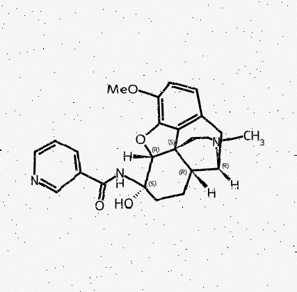 COc1ccc2c3c1O[C@@H]1[C@]34CCN(C)[C@H](C2)[C@@H]4CC[C@@]1(O)NC(=O)c1cccnc1